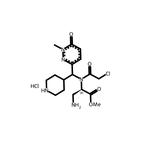 COC(=O)[C@@H](CN)N(C(=O)CCl)C(c1ccc(=O)n(C)n1)C1CCNCC1.Cl